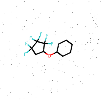 FC1(F)CC(OC2CCCCC2)C(F)(F)C1(F)F